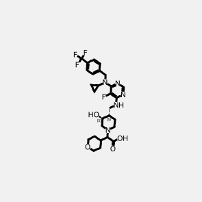 O=C(O)C(C1CCOCC1)N1CC[C@@H](CNc2ncnc(N(Cc3ccc(C(F)(F)F)cc3)C3CC3)c2F)[C@H](O)C1